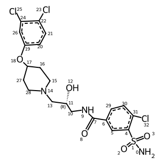 NS(=O)(=O)c1cc(C(=O)NC[C@@H](O)CN2CCC(Oc3ccc(Cl)c(Cl)c3)CC2)ccc1Cl